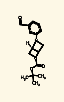 CC(C)(C)OC(=O)N1C[C@@H]2C1CN2c1cccc(C=O)c1